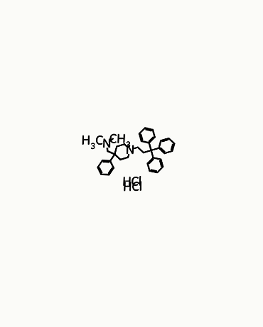 CN(C)CC1(c2ccccc2)CCN(CCC(c2ccccc2)(c2ccccc2)c2ccccc2)CC1.Cl.Cl